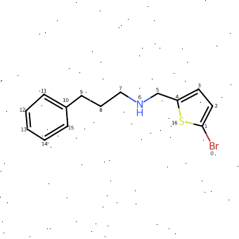 Brc1ccc(CNCCCc2ccccc2)s1